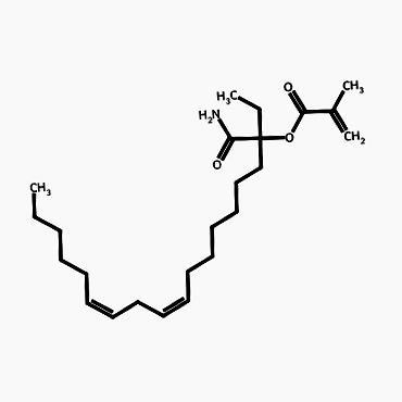 C=C(C)C(=O)OC(CC)(CCCCCC/C=C\C/C=C\CCCCC)C(N)=O